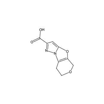 O=C(O)c1cc2oc3c(n2n1)CCOC3